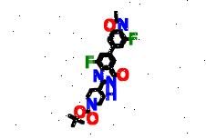 Cc1nc2c(F)cc(-c3cc(F)c4nc(C5CCN(C(=O)OC(C)(C)C)CC5)[nH]c(=O)c4c3)cc2o1